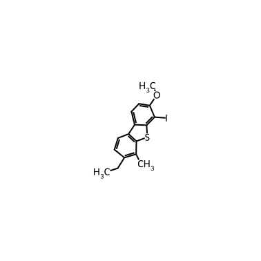 CCc1ccc2c(sc3c(I)c(OC)ccc32)c1C